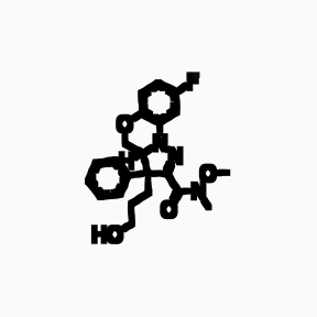 CON(C)C(=O)C1=NN2c3cc(F)ccc3OC[C@H]2[C@@]1(CCCO)c1ccccc1